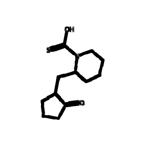 O=C1CCCC1CC1CCCCN1C(O)=S